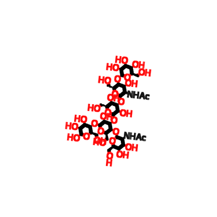 CC(=O)N[C@H]1[C@H](O[C@H]2[C@@H](O)[C@@H](CO)O[C@H](O[C@@H]3[C@@H](O)[C@H](O[C@H]4[C@H](O)[C@@H](O)[C@H](O)O[C@@H]4CO)O[C@H](CO)[C@@H]3O[C@@H]3O[C@H](CO)[C@H](O)[C@H](O)[C@H]3NC(C)=O)[C@@H]2O)O[C@H](CO)[C@@H](O[C@@H]2O[C@H](CO)[C@H](O)[C@H](O)[C@H]2O)[C@@H]1O